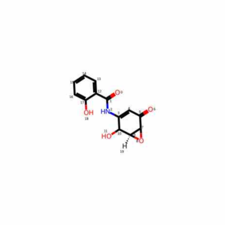 O=C(NC1=CC(=O)C2O[C@H]2C1O)c1ccccc1O